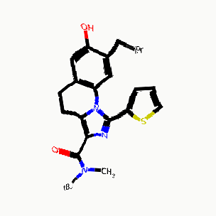 CC(C)Cc1cc2c(cc1O)CCc1c(C(=O)N(C)C(C)(C)C)nc(-c3cccs3)n1-2